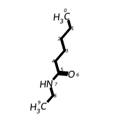 CCCCCC(=O)NCC